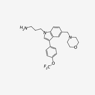 NCCCn1cc(-c2ccc(OC(F)(F)F)cc2)c2cc(CN3CCOCC3)ccc21